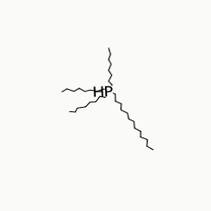 CCCCCCCCCCCCC[PH](CCCCCCCC)(CCCCCCCC)CCCCCCCC